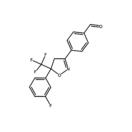 O=Cc1ccc(C2=NOC(c3cccc(F)c3)(C(F)(F)F)C2)cc1